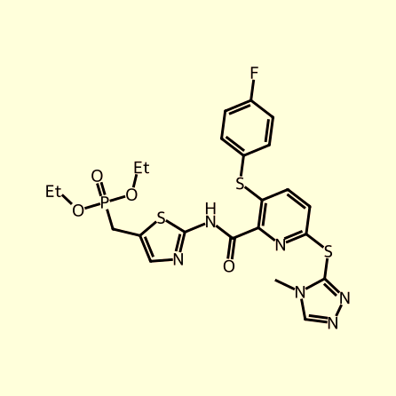 CCOP(=O)(Cc1cnc(NC(=O)c2nc(Sc3nncn3C)ccc2Sc2ccc(F)cc2)s1)OCC